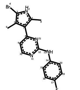 Cc1[nH]c(Br)c(C)c1-c1ccnc(Nc2ccc(F)cc2)n1